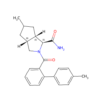 Cc1ccc(-c2ccccc2C(=O)N2C[C@@H]3CC(C)C[C@@H]3[C@H]2C(N)=O)cc1